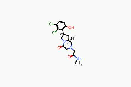 CNC(=O)CN1CC(=O)N2C[C@@H](c3c(O)ccc(Cl)c3Cl)C[C@H]2C1